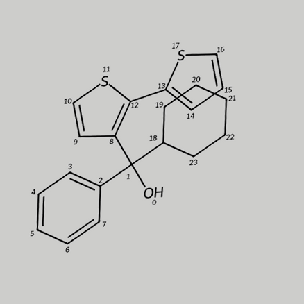 OC(c1ccccc1)(c1ccsc1-c1cccs1)C1CCCCC1